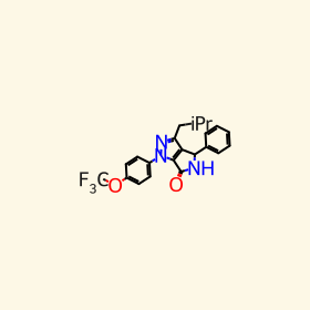 CC(C)Cc1nn(-c2ccc(OC(F)(F)F)cc2)c2c1C(c1ccccc1)NC2=O